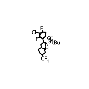 CC(C)(C)[S@@+]([O-])NC(CC1CCC(C(F)(F)F)CC1)c1ccc(F)c(Cl)c1F